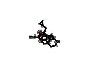 COc1cc(CC2CC2)c2c(c1)C13CCNC(C2)C1(O)CC(O)CC3